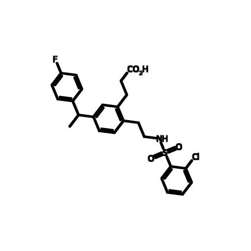 CC(c1ccc(F)cc1)c1ccc(CCNS(=O)(=O)c2ccccc2Cl)c(CCC(=O)O)c1